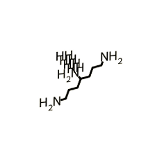 NCCCC(N)CCCN.[HH].[HH].[HH].[HH]